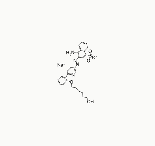 Nc1c(N=Nc2ccc(-c3ccccc3OCCCCCCO)nc2)cc(S(=O)(=O)[O-])c2ccccc12.[Na+]